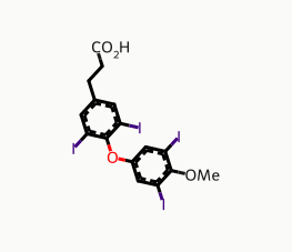 COc1c(I)cc(Oc2c(I)cc(CCC(=O)O)cc2I)cc1I